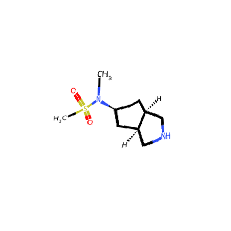 CN([C@H]1C[C@H]2CNC[C@H]2C1)S(C)(=O)=O